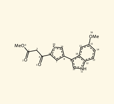 COC(=O)CC(=O)c1cc(-c2c[nH]c3ccc(OC)cc23)cs1